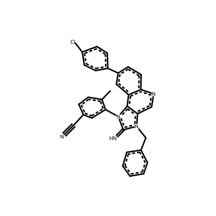 Cc1ccc(C#N)cc1-n1c(=N)n(Cc2ccccc2)c2cnc3ccc(-c4ccc(Cl)cc4)cc3c21